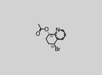 CC(=O)O[C@H]1CC[C@H](Br)c2cccnc21